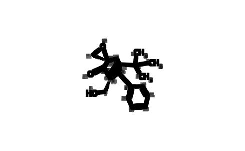 CC(C)(C)C1=C[C@]2(CO)C(=O)[C@]3(CO3)C1CC2c1ccccc1